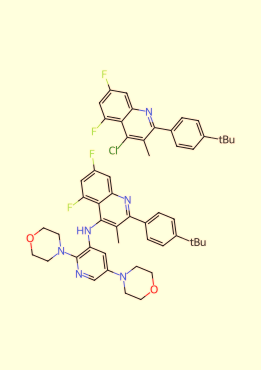 Cc1c(-c2ccc(C(C)(C)C)cc2)nc2cc(F)cc(F)c2c1Cl.Cc1c(-c2ccc(C(C)(C)C)cc2)nc2cc(F)cc(F)c2c1Nc1cc(N2CCOCC2)cnc1N1CCOCC1